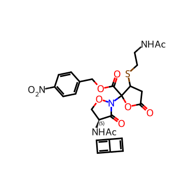 CC(=O)NCCSC1CC(=O)OC1(C(=O)OCc1ccc([N+](=O)[O-])cc1)N1OC[C@H](NC(C)=O)C1=O.c1cc2ccc1-2